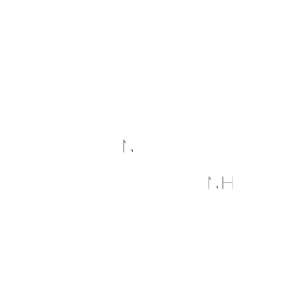 CC1(C)CN(CC2CCNCC2)c2c[c]ccc21